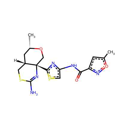 Cc1cc(C(=O)Nc2csc([C@]34CO[C@@H](C)C[C@H]3CSC(N)=N4)n2)no1